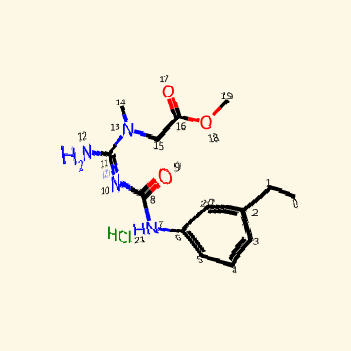 CCc1cccc(NC(=O)/N=C(/N)N(C)CC(=O)OC)c1.Cl